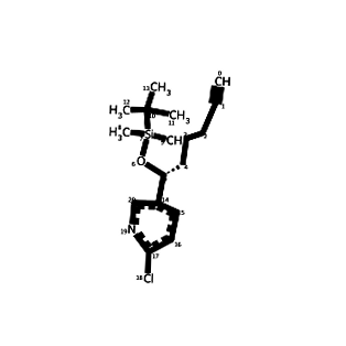 C#CCCC[C@@H](O[Si](C)(C)C(C)(C)C)c1ccc(Cl)nc1